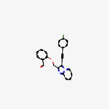 O=Cc1ccccc1OCc1nc2ccccn2c1C#Cc1ccc(F)cc1